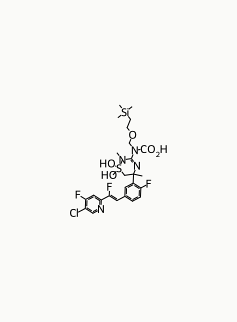 CN1C(N(COCC[Si](C)(C)C)C(=O)O)=NC(C)(c2cc(C=C(F)c3cc(F)c(Cl)cn3)ccc2F)CS1(O)O